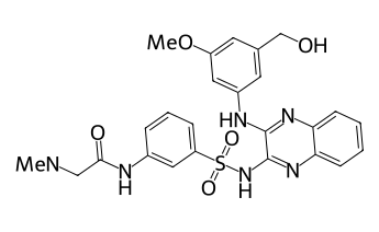 CNCC(=O)Nc1cccc(S(=O)(=O)Nc2nc3ccccc3nc2Nc2cc(CO)cc(OC)c2)c1